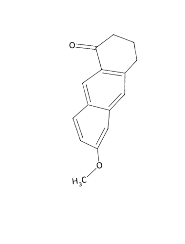 COc1ccc2cc3c(cc2c1)CCCC3=O